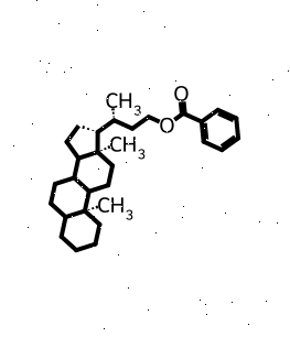 C[C@H](CCOC(=O)c1ccccc1)[C@H]1CCC2C3CCC4CCCC[C@]4(C)C3CC[C@@]21C